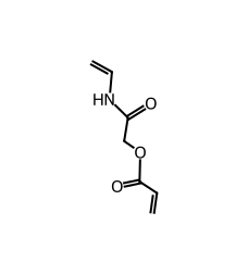 C=CNC(=O)COC(=O)C=C